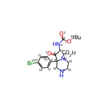 CC(C)(C)OC(=O)NCC(=O)C1(c2ccc(Br)cc2)CNCCN1C(=O)O